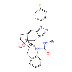 CC(C)NC(=O)Nc1ccccc1CC[C@]1(O)CCC2=Cc3c(cnn3-c3ccc(F)cc3)C[C@@]21C